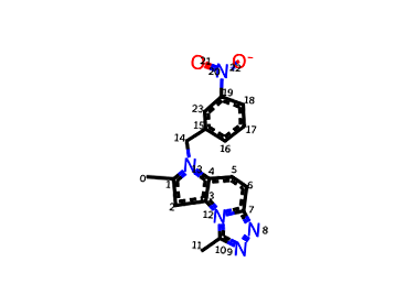 Cc1cc2c(ccc3nnc(C)n32)n1Cc1cccc([N+](=O)[O-])c1